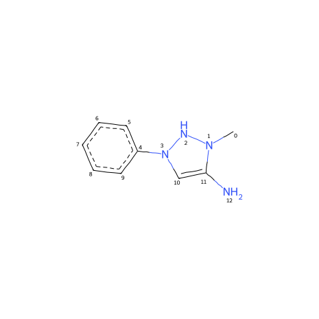 CN1NN(c2ccccc2)C=C1N